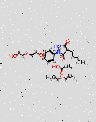 CC(=O)O.CCCCC1C(=O)NN(c2ccccc2)C1=O.CCOCC.OCCOCCO